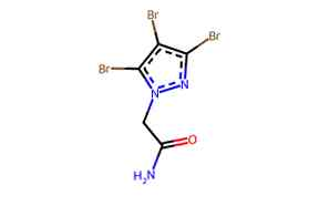 NC(=O)Cn1nc(Br)c(Br)c1Br